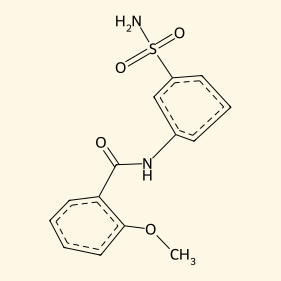 COc1ccccc1C(=O)Nc1cccc(S(N)(=O)=O)c1